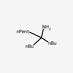 CCCCCC(N)(CCCC)CCCC